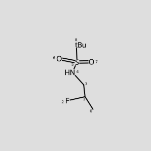 CC(F)CNS(=O)(=O)C(C)(C)C